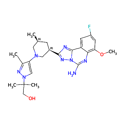 COc1cc(F)cc2c1nc(N)n1nc([C@@H]3C[C@H](C)CN(c4cn(C(C)(C)CO)nc4C)C3)nc21